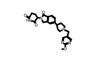 COc1ncc(CN2CCC(c3ccc4c(c3)CN(C3CCC(=O)NC3=O)C4=O)CC2)cn1